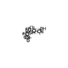 CC(c1ccc(-c2ccc(F)c(O)c2)cc1Cl)C(O)(c1cc(F)c2c(c1)N(C)C(=O)CO2)C(F)(F)F